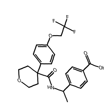 CC(NC(=O)C1(c2ccc(OCC(F)(F)F)cc2)CCOCC1)c1ccc(C(=O)O)cc1